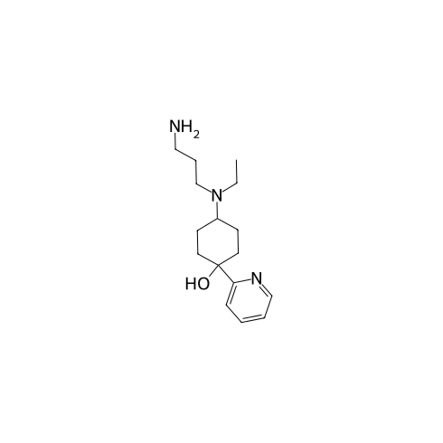 CCN(CCCN)C1CCC(O)(c2ccccn2)CC1